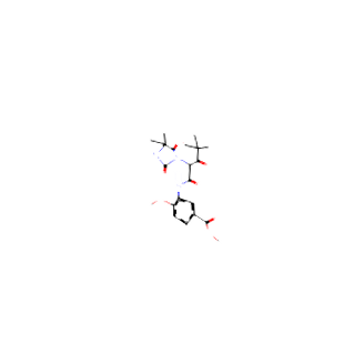 COC(=O)c1ccc(OC)c(NC(=O)C(C(=O)C(C)(C)C)N2C(=O)NC(C)(C)C2=O)c1